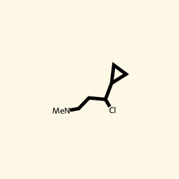 CNCCC(Cl)C1CC1